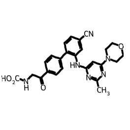 Cc1nc(Nc2cc(C#N)ccc2-c2ccc(C(=O)CNC(=O)O)cc2)cc(N2CCOCC2)n1